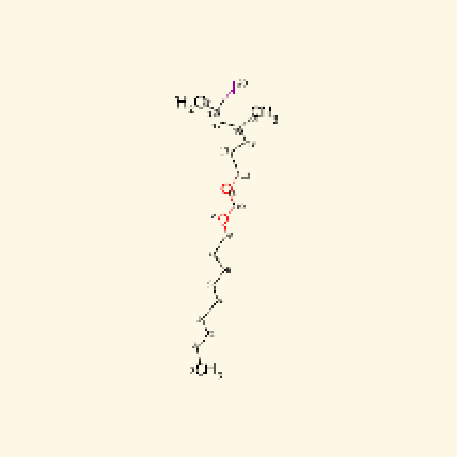 CCCCCCCCCOCOCCCC(C)CC(C)I